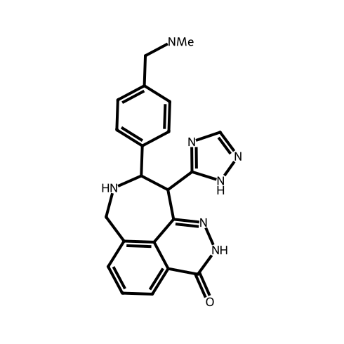 CNCc1ccc(C2NCc3cccc4c(=O)[nH]nc(c34)C2c2ncn[nH]2)cc1